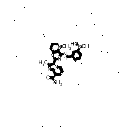 Cc1nc2c(C(N)=O)cccn2c1-c1nc2c(c(NCc3cccc(B(O)O)c3)n1)N(C)CCC2